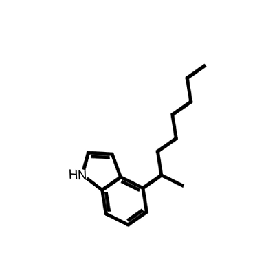 CCCCCCC(C)c1cccc2[nH]ccc12